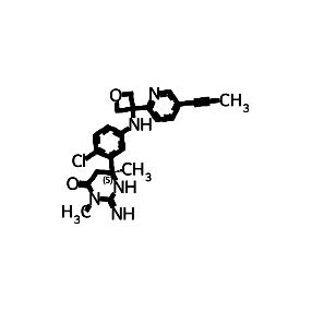 CC#Cc1ccc(C2(Nc3ccc(Cl)c([C@]4(C)CC(=O)N(C)C(=N)N4)c3)COC2)nc1